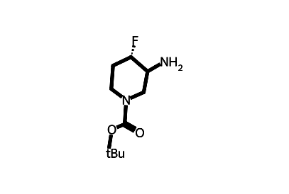 CC(C)(C)OC(=O)N1CC[C@H](F)C(N)C1